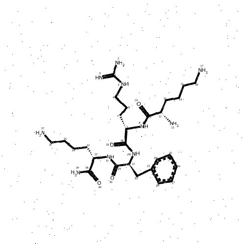 N=C(N)NCCC[C@H](NC(=O)[C@@H](N)CCCCN)C(=O)N[C@@H](Cc1ccccc1)C(=O)N[C@@H](CCCCN)C(N)=O